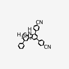 C/C=C(\C=C1\c2cc(-c3ccc(C#N)cc3)cc(-c3ccc(C#N)cc3)c2NC1C)c1ccccc1